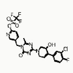 Cc1nc(N2CC=C(c3ccc(F)c(Cl)c3)C(O)C2)nc(=O)n1Cc1ccc(OS(=O)(=O)C(F)(F)F)nc1